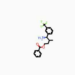 CC(CCOC(=O)c1ccccc1)C(N)c1cccc(C(F)(F)F)c1